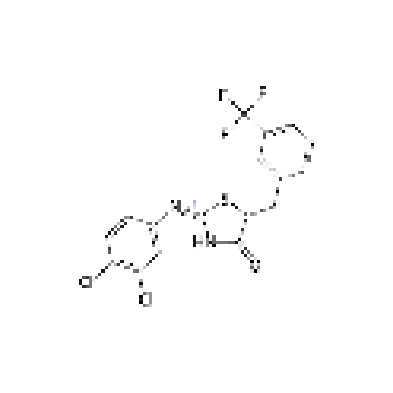 O=C1N/C(=N\c2ccc(Cl)c(Cl)c2)SC1Cc1cccc(C(F)(F)F)c1